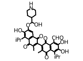 CC1=C(C2=C(C)C(=O)c3c(c(C=O)c(O)c(O)c3C(C)C)C2=O)C(=O)c2cc(OC(O)C3CCNCC3)c(O)c(C(C)C)c2C1=O